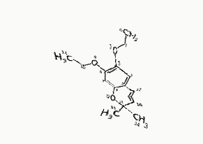 CCOc1cc2c(cc1OCC)OC(C)(C)C=C2